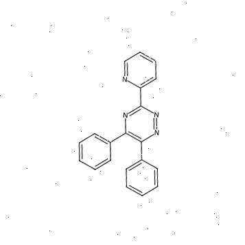 c1ccc(-c2nnc(-c3ccccn3)nc2-c2ccccc2)cc1